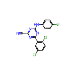 N#Cc1nc(Nc2ccc(Br)cc2)nc(-c2cc(Cl)ccc2Cl)n1